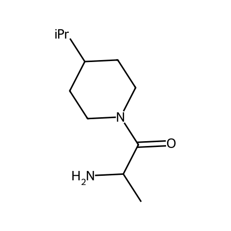 CC(N)C(=O)N1CCC(C(C)C)CC1